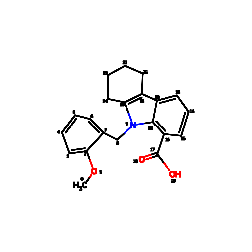 COc1ccccc1Cn1c2c(c3cccc(C(=O)O)c31)CCCC2